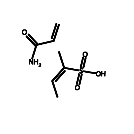 C=CC(N)=O.CC=C(C)S(=O)(=O)O